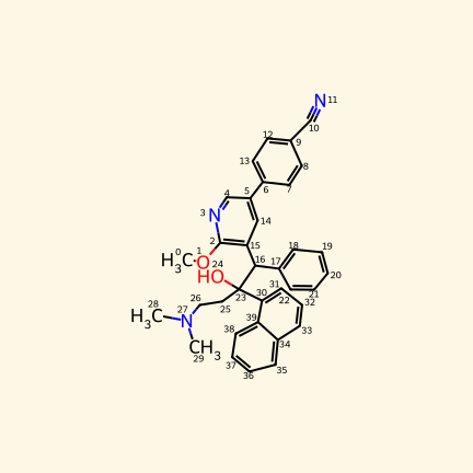 COc1ncc(-c2ccc(C#N)cc2)cc1C(c1ccccc1)C(O)(CCN(C)C)c1cccc2ccccc12